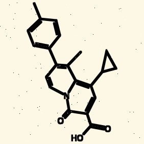 Cc1ccc(-c2ccn3c(=O)c(C(=O)O)cc(C4CC4)c3c2C)cc1